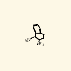 N[C@@H]1CCc2ccccc2[C@@H]1O